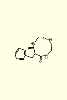 O=C1NCCNCCNC(=O)C1Cc1ccccc1